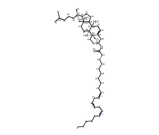 CCCCC/C=C\C/C=C\C/C=C\CCCCCCCCC(=O)O[C@H]1CC[C@@]2(C)C(=CC[C@H]3[C@@H]4CC[C@H]([C@H](C)CCCC(C)C)[C@@]4(C)CC[C@@H]32)C1